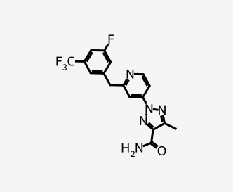 Cc1nn(-c2ccnc(Cc3cc(F)cc(C(F)(F)F)c3)c2)nc1C(N)=O